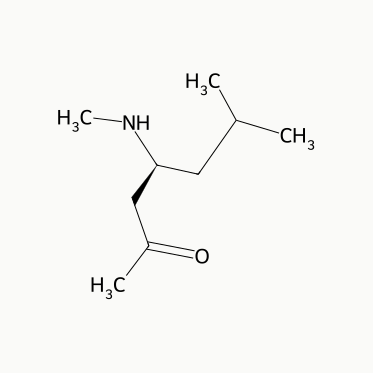 CN[C@H](CC(C)=O)CC(C)C